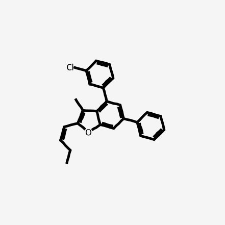 CC/C=C\c1oc2cc(-c3ccccc3)cc(-c3cccc(Cl)c3)c2c1C